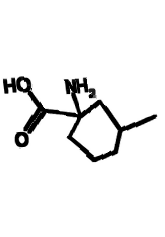 CC1CCCC(N)(C(=O)O)C1